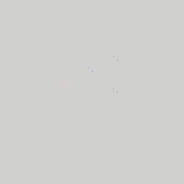 CN1C(=N)NC2(CCCC2)CC1=O